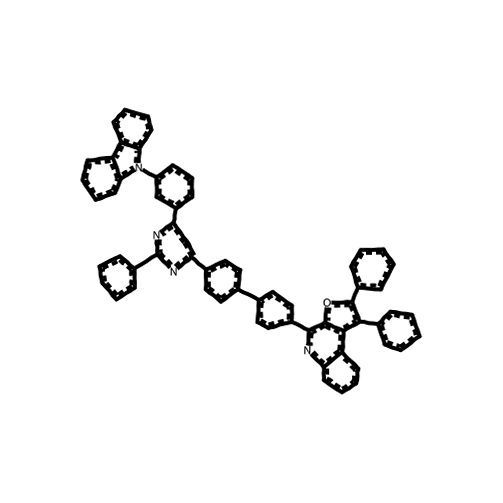 c1ccc(-c2nc(-c3ccc(-c4ccc(-c5nc6ccccc6c6c(-c7ccccc7)c(-c7ccccc7)oc56)cc4)cc3)cc(-c3cccc(-n4c5ccccc5c5ccccc54)c3)n2)cc1